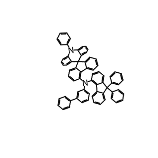 c1ccc(-c2cccc(N(c3cccc4c3-c3ccccc3C4(c3ccccc3)c3ccccc3)c3cccc4c3-c3ccccc3C43c4ccccc4N(c4ccccc4)c4ccccc43)c2)cc1